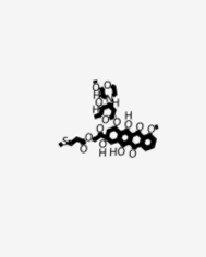 COc1cccc2c1C(=O)c1c(O)c3c(c(O)c1C2=O)C[C@@](O)(C(=O)COC(=O)CCSC)C[C@@H]3O[C@H]1C[C@@H]2[C@@H](O[C@@H]3[C@@H](OC)OCCN23)C(C)O1